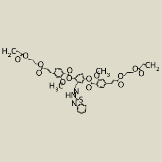 C=CC(=O)OCCCOC(=O)/C=C/c1ccc(C(=O)Oc2ccc(OC(=O)c3ccc(/C=C/C(=O)OCCCOC(=O)C=C)cc3OC)c(/C=N/Nc3nc4ccccc4s3)c2)c(OC)c1